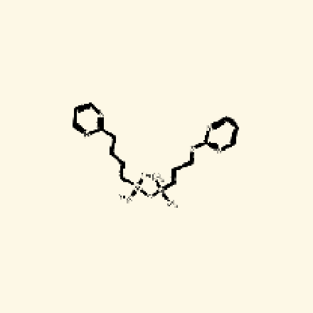 C[Si](C)(CCCCc1ncccn1)O[Si](C)(C)CCCSc1ncccn1